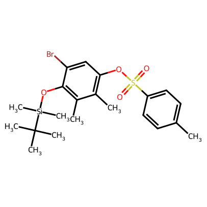 Cc1ccc(S(=O)(=O)Oc2cc(Br)c(O[Si](C)(C)C(C)(C)C)c(C)c2C)cc1